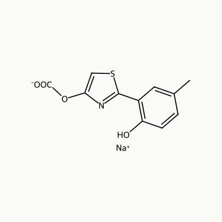 Cc1ccc(O)c(-c2nc(OC(=O)[O-])cs2)c1.[Na+]